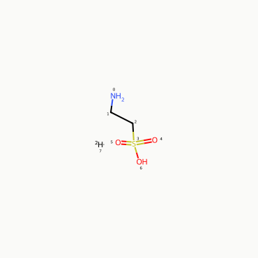 NCCS(=O)(=O)O.[2H]